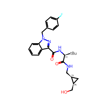 CC(C)(C)[C@H](NC(=O)c1nn(Cc2ccc(F)cc2)c2ccccc12)C(=O)NC[C@H]1C[C@H]1CO